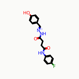 O=C(CCC(=O)Nc1ccc(F)cc1)N/N=C/c1ccc(O)cc1